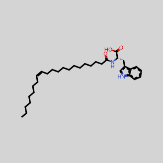 CCCCCCCC/C=C\CCCCCCCCCCCC(=O)N[C@@H](Cc1c[nH]c2ccccc12)C(=O)O